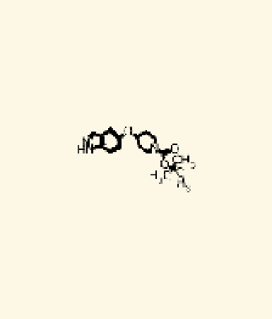 CC(C)(C)OC(=O)N1CCC(Oc2ccc3[nH]ncc3c2)CC1